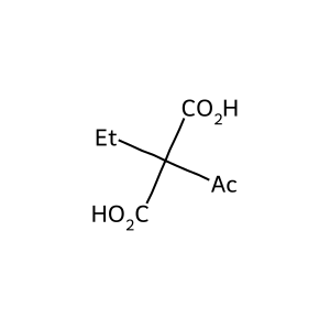 CCC(C(C)=O)(C(=O)O)C(=O)O